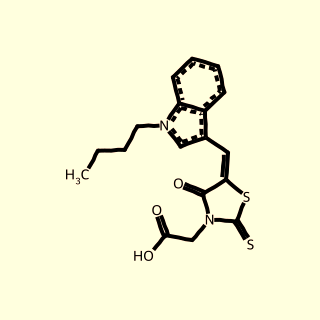 CCCCn1cc(C=C2SC(=S)N(CC(=O)O)C2=O)c2ccccc21